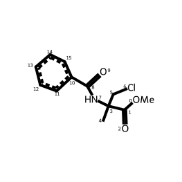 COC(=O)C(C)(CCl)NC(=O)c1ccccc1